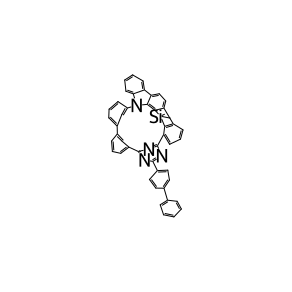 C[Si]1(C)c2c3cccc2-c2ccc4c5ccccc5n(c4c21)-c1cccc(c1)-c1cccc(c1)-c1nc(-c2ccc(-c4ccccc4)cc2)nc-3n1